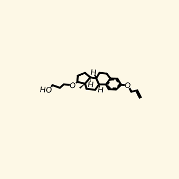 C=CCOc1ccc2c(c1)CC[C@@H]1[C@@H]2CC[C@]2(C)[C@@H](OCCCO)CC[C@@H]12